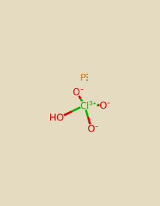 [O-][Cl+3]([O-])([O-])O.[P]